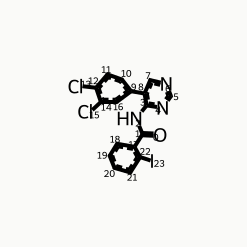 O=C(Nc1ncncc1-c1ccc(Cl)c(Cl)c1)c1ccccc1I